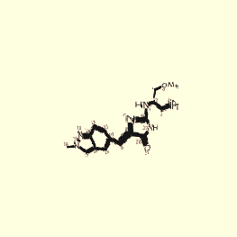 COC[C@@H](CC(C)C)NC1=N/C(=C\c2ccc3nn(C)cc3c2)C(=O)N1